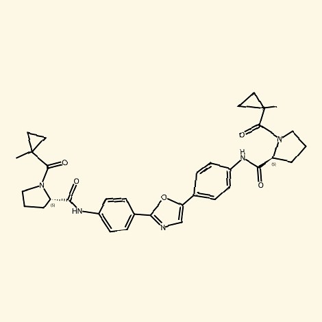 CC1(C(=O)N2CCC[C@H]2C(=O)Nc2ccc(-c3cnc(-c4ccc(NC(=O)[C@@H]5CCCN5C(=O)C5(C)CC5)cc4)o3)cc2)CC1